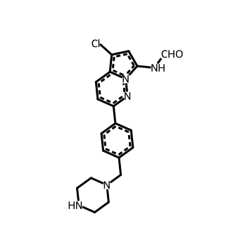 O=CNc1cc(Cl)c2ccc(-c3ccc(CN4CCNCC4)cc3)nn12